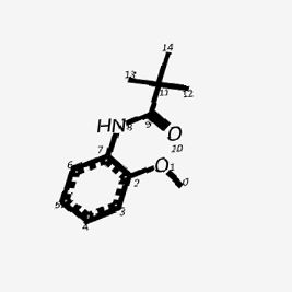 COc1cc[c]cc1NC(=O)C(C)(C)C